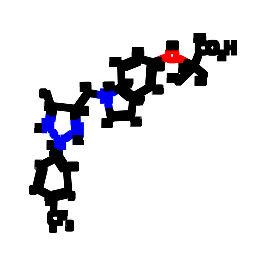 Cc1nn(-c2ccc(C(F)(F)F)cc2)nc1Cn1ccc2cc(OC(C)(C)C(=O)O)ccc21